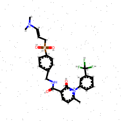 Cc1ccc(C(=O)NCc2ccc(S(=O)(=O)CC=CN(C)C)cc2)c(=O)n1-c1cccc(C(F)(F)F)c1